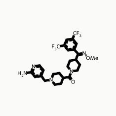 CON=C(c1cc(C(F)(F)F)cc(C(F)(F)F)c1)C1CCN(C(=O)C2CCN(Cc3ccnc(N)c3)CC2)CC1